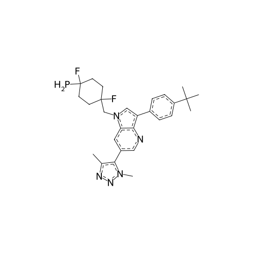 Cc1nnn(C)c1-c1cnc2c(-c3ccc(C(C)(C)C)cc3)cn(CC3(F)CCC(F)(P)CC3)c2c1